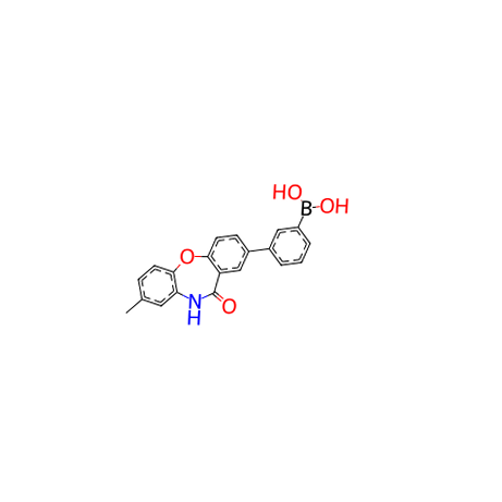 Cc1ccc2c(c1)NC(=O)c1cc(-c3cccc(B(O)O)c3)ccc1O2